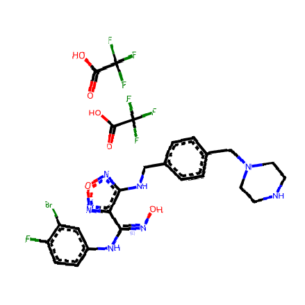 O/N=C(/Nc1ccc(F)c(Br)c1)c1nonc1NCc1ccc(CN2CCNCC2)cc1.O=C(O)C(F)(F)F.O=C(O)C(F)(F)F